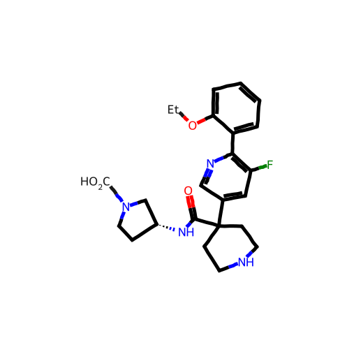 CCOc1ccccc1-c1ncc(C2(C(=O)N[C@@H]3CCN(C(=O)O)C3)CCNCC2)cc1F